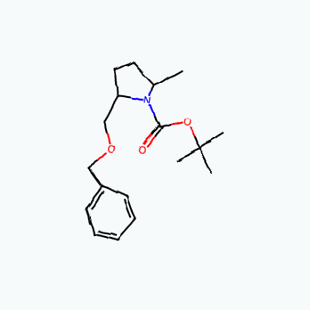 CC1CCC(COCc2ccccc2)N1C(=O)OC(C)(C)C